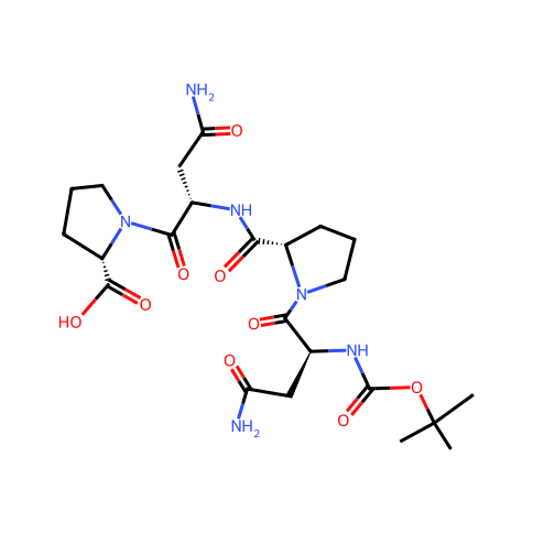 CC(C)(C)OC(=O)N[C@@H](CC(N)=O)C(=O)N1CCC[C@H]1C(=O)N[C@@H](CC(N)=O)C(=O)N1CCC[C@H]1C(=O)O